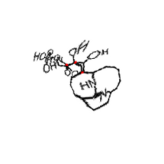 NC(=O)/C=C\C1CCCC2CCC3CCCCCC1(C1OC(COP(=O)(O)O)C(O)C1O)NC2=N3